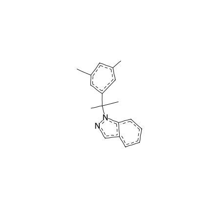 Cc1cc(C)cc(C(C)(C)n2ncc3ccccc32)c1